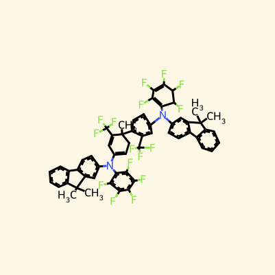 CC1(c2ccc(N(C3=C(F)C(F)=C(F)C(F)C3F)c3ccc4c(c3)C(C)(C)c3ccccc3-4)cc2C(F)(F)F)CC=C(N(c2ccc3c(c2)C(C)(C)c2ccccc2-3)c2c(F)c(F)c(F)c(F)c2F)C=C1C(F)(F)F